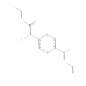 CCOC(=O)C(F)c1ccc(C(Cl)OCC)cc1